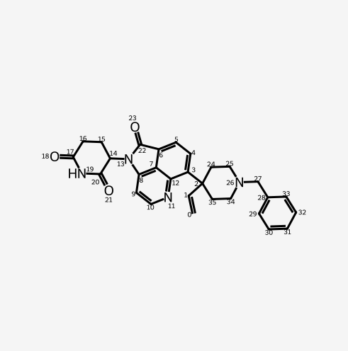 C=CC1(c2ccc3c4c(ccnc24)N(C2CCC(=O)NC2=O)C3=O)CCN(Cc2ccccc2)CC1